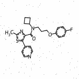 Cc1nc(C(=O)N(CCCOc2ccc(F)cc2)C2CCC2)c(-c2ccncc2)s1